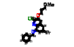 COCCCOc1cc2c(nc1Cl)/C(=N/Cc1ccccc1)CC(C(C)C)C2